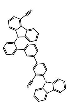 N#Cc1cc(-c2cccc(-c3ccccc3-n3c4ccccc4c4c(C#N)cccc43)c2)ccc1-n1c2ccccc2c2ccccc21